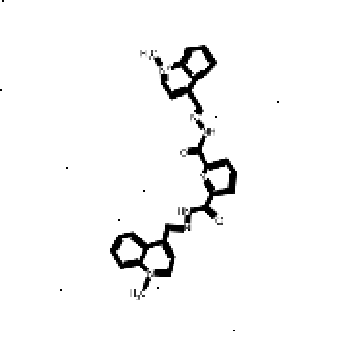 C[n+]1ccc(/C=N/NC(=O)c2cccc(C(=O)N/N=C/c3cc[n+](C)c4ccccc34)n2)c2ccccc21